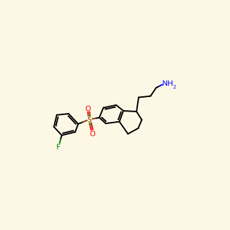 NCCCC1CCCc2cc(S(=O)(=O)c3cccc(F)c3)ccc21